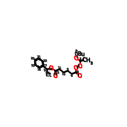 CCCCOC(C)OOC(=O)CCCCC(=O)OC(CC)c1ccccc1